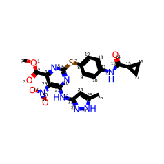 COC(=O)c1nc(Sc2ccc(NC(=O)C3CC3)cc2)nc(Nc2cc(C)[nH]n2)c1[N+](=O)[O-]